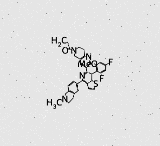 C=CC(=O)N1CCc2ncc(-c3nc(-c4ccc5c(c4)CCN(C)C5)c4ccsc4c3-c3c(F)cc(F)cc3OC)cc2C1